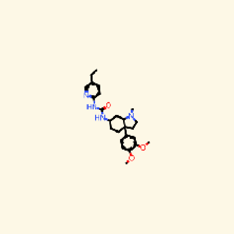 CCc1ccc(NC(=O)NC2CCC3(c4ccc(OC)c(OC)c4)CCN(C)C3C2)nc1